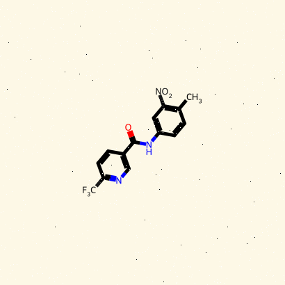 Cc1ccc(NC(=O)c2ccc(C(F)(F)F)nc2)cc1[N+](=O)[O-]